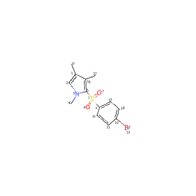 Cc1cn(C)c(S(=O)(=O)c2ccc(Br)cc2)c1C